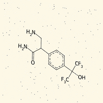 NCC(C(N)=O)c1ccc(C(O)(C(F)(F)F)C(F)(F)F)cc1